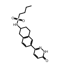 CCCCS(=O)(=O)NC1CCc2cc(-c3ccc(=O)[nH]n3)ccc2C1